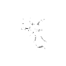 CC1(c2ccccc2)NC(=S)N2CCON=C21